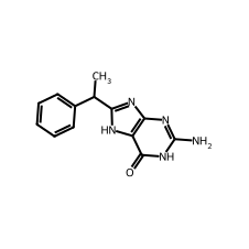 CC(c1ccccc1)c1nc2nc(N)[nH]c(=O)c2[nH]1